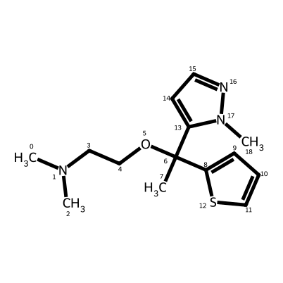 CN(C)CCOC(C)(c1cccs1)c1ccnn1C